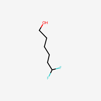 OCCCCCC(F)F